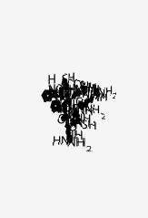 CCCC[C@H](NC(=O)[C@@H](N)CCCNC(=N)N)C(=O)N[C@@H](CS)C(=O)N[C@@H](CCCNC(=N)N)C(=O)N[C@H](Cc1ccccc1)C(=O)N[C@@H](CC(Br)CNC(=N)N)C(=O)N[C@@H](Cc1c[nH]c2ccccc12)C(=O)N[C@@H](CS)C(=O)O